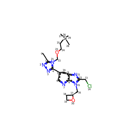 Cc1nnc(-c2cnc3c(c2)nc(CCl)n3C[C@@H]2CCO2)n1COCC[Si](C)(C)C